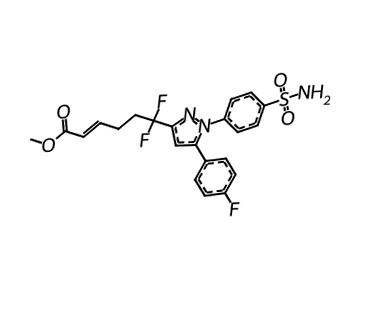 COC(=O)C=CCCC(F)(F)c1cc(-c2ccc(F)cc2)n(-c2ccc(S(N)(=O)=O)cc2)n1